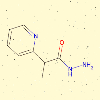 CC(C(=O)NN)c1ccccn1